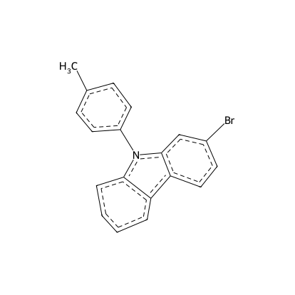 Cc1ccc(-n2c3ccccc3c3ccc(Br)cc32)cc1